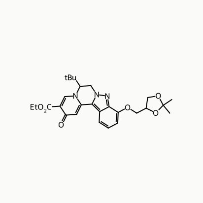 CCOC(=O)c1cn2c(cc1=O)-c1c3cccc(OCC4COC(C)(C)O4)c3nn1CC2C(C)(C)C